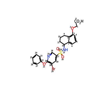 O=C(O)COc1cccc2c1CCCC2NS(=O)(=O)c1cnc(Oc2ccccc2)c(Br)c1